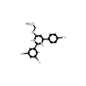 O=C(O)COc1cc(-c2ccc(F)cc2)nc(-c2cc(F)cc(F)c2)n1